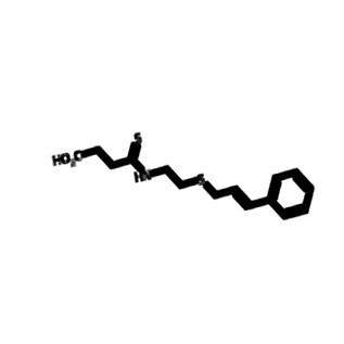 O=C(O)CCC(=S)NCCSCC=Cc1ccccc1